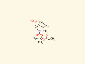 CCC(=O)O[C@H](OC(=O)NC[C@H](CC(=O)O)[C@H](C)[C@H](C)CC)C(C)C